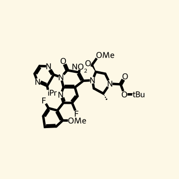 COC(=O)[C@H]1CN(C(=O)OC(C)(C)C)[C@H](C)CN1c1c([N+](=O)[O-])c(=O)n(-c2nccnc2C(C)C)c2nc(-c3c(F)cccc3OC)c(F)cc12